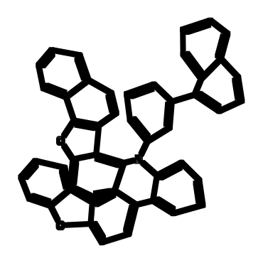 c1cc(-c2cccc3ccccc23)cc(N(c2ccccc2-c2ccc3oc4ccccc4c3c2)c2cccc3oc4c5ccccc5ccc4c23)c1